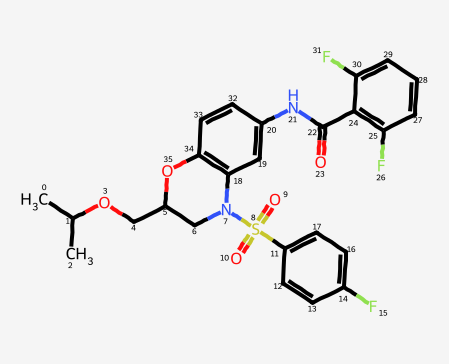 CC(C)OCC1CN(S(=O)(=O)c2ccc(F)cc2)c2cc(NC(=O)c3c(F)cccc3F)ccc2O1